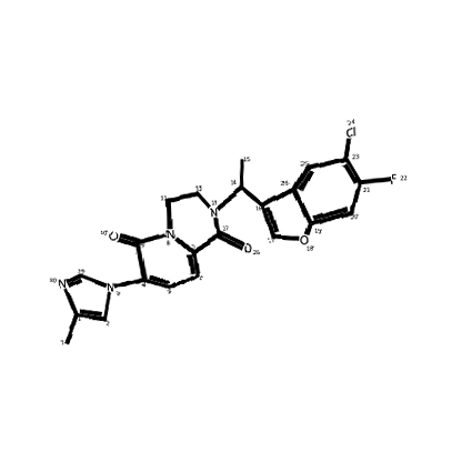 Cc1cn(-c2ccc3n(c2=O)CCN(C(C)c2coc4cc(F)c(Cl)cc24)C3=O)cn1